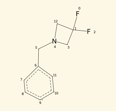 FC1(F)CN(Cc2cc[c]cc2)C1